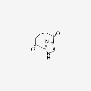 O=C1CCCC(=O)c2nc1c[nH]2